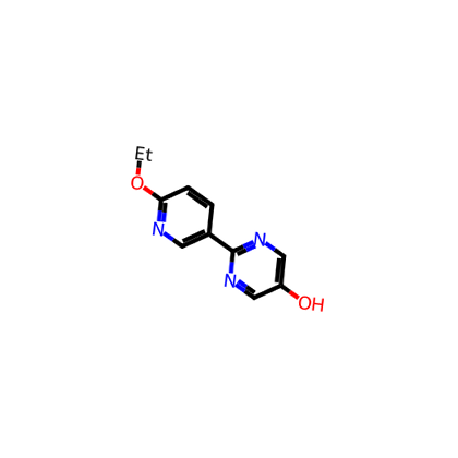 CCOc1ccc(-c2ncc(O)cn2)cn1